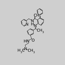 C=C(NCc1ccccn1)c1c(/N=C(\C)c2cccc(C(=O)NCCN(C)C)c2)cccc1-c1ccccc1